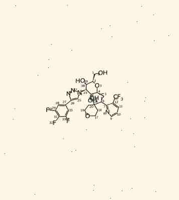 OC[C@H]1O[C@@H](S[C@@H](c2ncccc2C(F)(F)F)C2(O)CCOCC2)[C@H](O)[C@@H](n2cc(-c3cc(F)c(F)c(F)c3)nn2)[C@H]1O